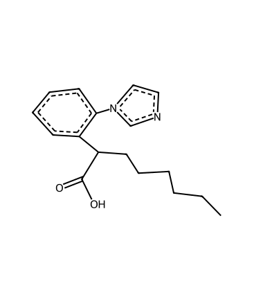 CCCCCCC(C(=O)O)c1ccccc1-n1ccnc1